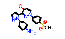 CS(=O)(=O)c1ccc(-n2ccc(=O)c(-c3ccnn3-c3ccc(N)cc3)n2)cc1